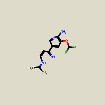 CC(C)N/C=C\C(=N)c1cnc(N)c(OC(F)F)c1